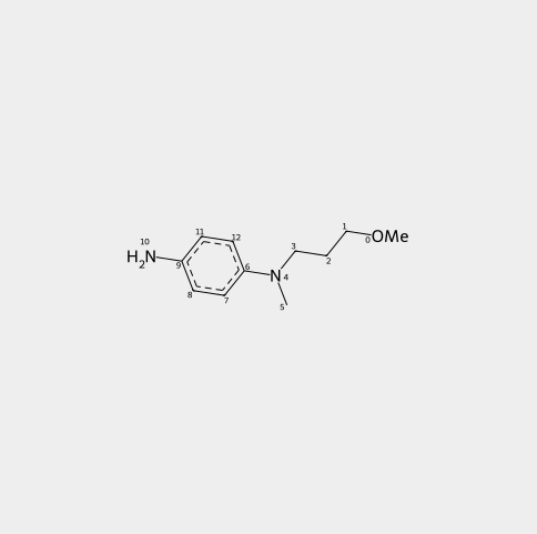 COCCCN(C)c1ccc(N)cc1